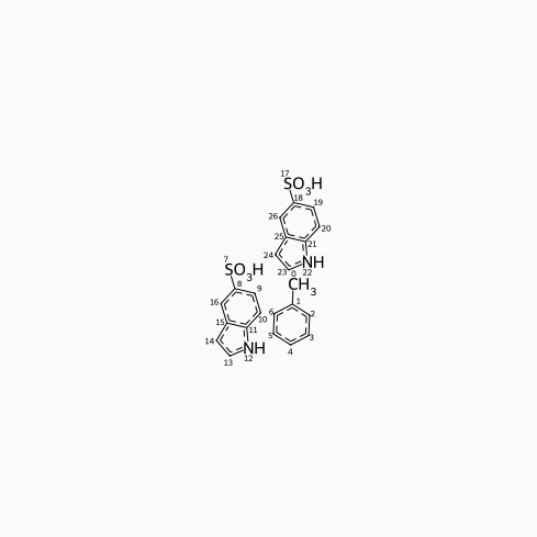 Cc1ccccc1.O=S(=O)(O)c1ccc2[nH]ccc2c1.O=S(=O)(O)c1ccc2[nH]ccc2c1